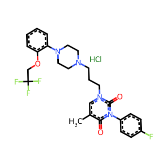 Cc1cn(CCCN2CCN(c3ccccc3OCC(F)(F)F)CC2)c(=O)n(-c2ccc(F)cc2)c1=O.Cl